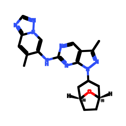 Cc1cc2ncnn2cc1Nc1ncc2c(C)nn(C3C[C@H]4CC[C@@H](C3)O4)c2n1